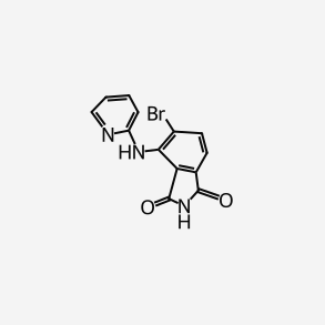 O=C1NC(=O)c2c1ccc(Br)c2Nc1ccccn1